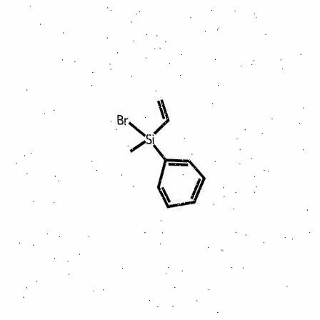 C=C[Si](C)(Br)c1ccccc1